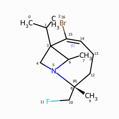 CC(C)C12CN(C1C)[C@@](C)(CF)CC/C=C\2Br